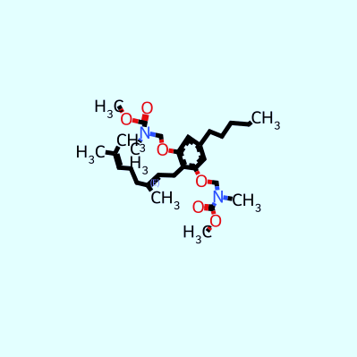 CCCCCc1cc(OCN(C)C(=O)OC)c(C/C=C(\C)CCC=C(C)C)c(OCN(C)C(=O)OC)c1